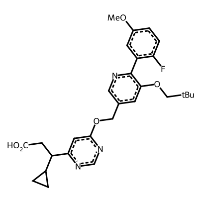 COc1ccc(F)c(-c2ncc(COc3cc(C(CC(=O)O)C4CC4)ncn3)cc2OCC(C)(C)C)c1